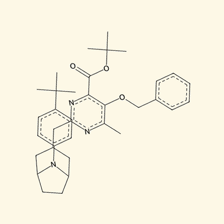 Cc1nc(CC2CC3CCC(C2)N3c2ccc(C(C)(C)C)cc2)nc(C(=O)OC(C)(C)C)c1OCc1ccccc1